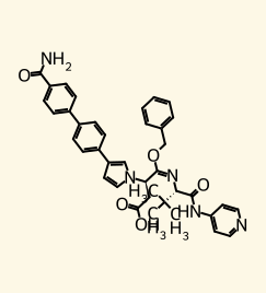 CC(C)(C)[C@H](N=C(OCc1ccccc1)[C@@H](CC(=O)O)n1ccc(-c2ccc(-c3ccc(C(N)=O)cc3)cc2)c1)C(=O)Nc1ccncc1